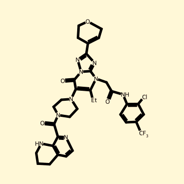 CCc1c(N2CCN(C(=O)c3nccc4c3NCCC4)CC2)c(=O)n2nc(C3=CCOCC3)nc2n1CC(=O)Nc1ccc(C(F)(F)F)cc1Cl